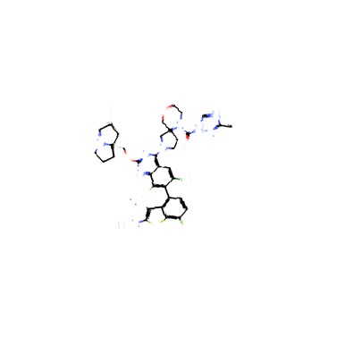 Cc1ncn(C(=O)N2CCOCC23CCN(c2nc(OC[C@@]45CCCN4C[C@H](F)C5)nc4c(F)c(-c5ccc(F)c6sc(N)c(C#N)c56)c(Cl)cc24)C3)n1